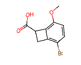 COc1ccc(Br)c2c1C(C(=O)O)C2